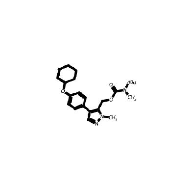 CCCCN(C)C(=O)OCc1c(-c2ccc(OC3CCCCC3)cc2)cnn1C